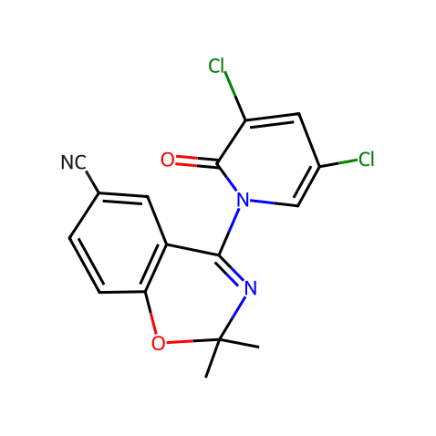 CC1(C)N=C(n2cc(Cl)cc(Cl)c2=O)c2cc(C#N)ccc2O1